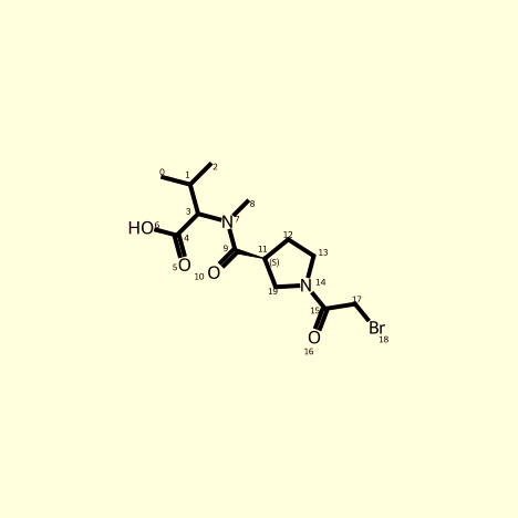 CC(C)C(C(=O)O)N(C)C(=O)[C@H]1CCN(C(=O)CBr)C1